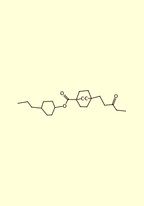 CCCC1CCC(OC(=O)C23CCC(CCC(=O)CC)(CC2)CC3)CC1